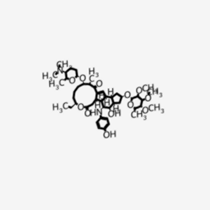 CC[C@H]1CCC[C@H](O[C@H]2CC[C@H](N(C)C)C(C)O2)[C@@H](C)C(=O)C2=C[C@H]3[C@@H]4C[C@H](O[C@@H]5OC(C)[C@H](OC)C(OC)C5OC)C[C@H]4[C@@H](O)[C@H](Nc4ccc(O)cc4)[C@H]3[C@@H]2CC(=O)O1